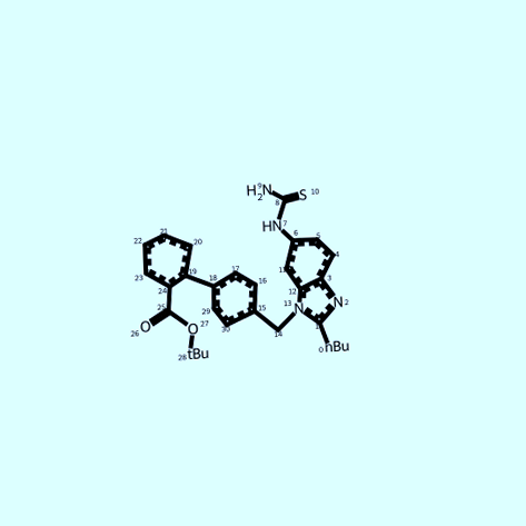 CCCCc1nc2ccc(NC(N)=S)cc2n1Cc1ccc(-c2ccccc2C(=O)OC(C)(C)C)cc1